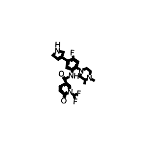 CC1CN(c2cc(F)c(C3=CCNC3)cc2NC(=O)c2ccc(=O)n(C(F)F)c2)CCN1C